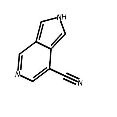 N#Cc1cncc2c[nH]cc12